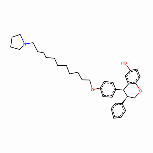 Oc1ccc2c(c1)[C@H](c1ccc(OCCCCCCCCCCCN3CCCC3)cc1)[C@H](c1ccccc1)CO2